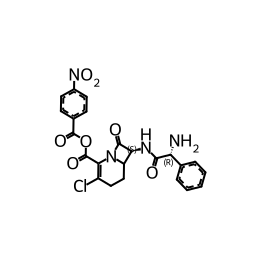 N[C@@H](C(=O)N[C@@H]1C(=O)N2C(C(=O)OC(=O)c3ccc([N+](=O)[O-])cc3)=C(Cl)CCC12)c1ccccc1